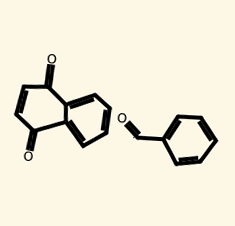 O=C1C=CC(=O)c2ccccc21.O=[C]c1ccccc1